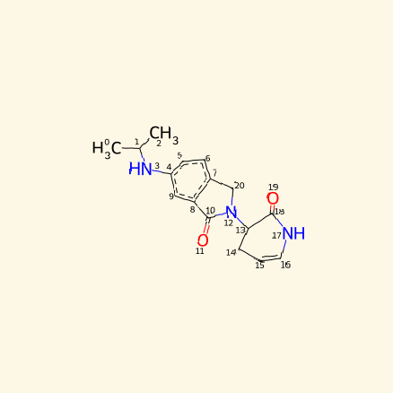 CC(C)Nc1ccc2c(c1)C(=O)N(C1CC=CNC1=O)C2